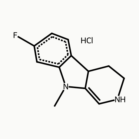 CN1C2=CNCCC2c2ccc(F)cc21.Cl